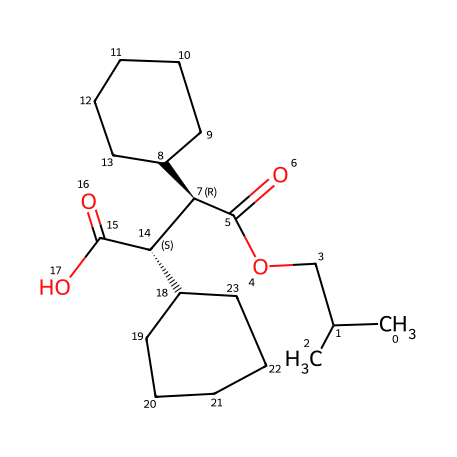 CC(C)COC(=O)[C@H](C1CCCCC1)[C@@H](C(=O)O)C1CCCCC1